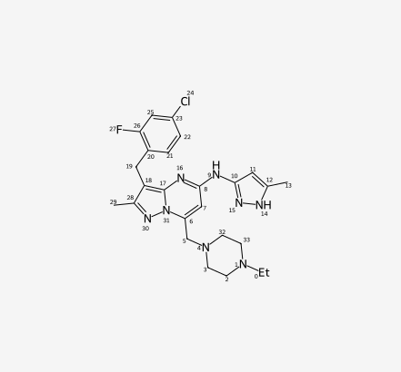 CCN1CCN(Cc2cc(Nc3cc(C)[nH]n3)nc3c(Cc4ccc(Cl)cc4F)c(C)nn23)CC1